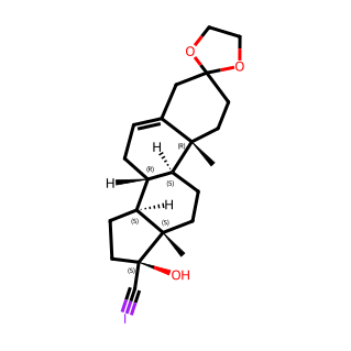 C[C@]12CCC3(CC1=CC[C@@H]1[C@@H]2CC[C@@]2(C)[C@H]1CC[C@@]2(O)C#I)OCCO3